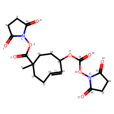 CC1(C(=O)ON2C(=O)CCC2=O)CC/C=C/C(OC(=O)ON2C(=O)CCC2=O)CC1